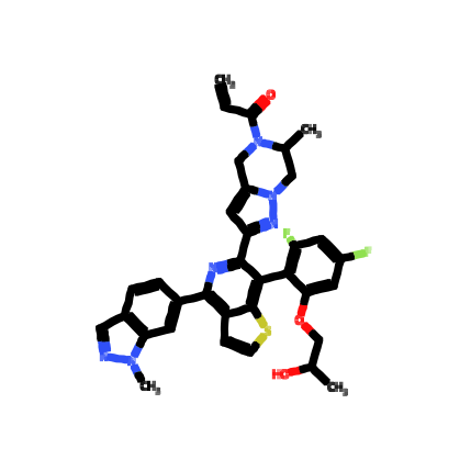 C=CC(=O)N1Cc2cc(-c3nc(-c4ccc5cnn(C)c5c4)c4ccsc4c3-c3c(F)cc(F)cc3OCC(C)O)nn2CC1C